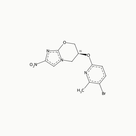 Cc1nc(O[C@@H]2COc3nc([N+](=O)[O-])cn3C2)ccc1Br